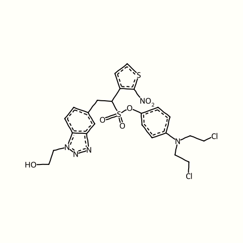 O=[N+]([O-])c1sccc1C(Cc1ccc2c(c1)nnn2CCO)S(=O)(=O)Oc1ccc(N(CCCl)CCCl)cc1